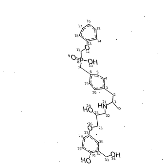 CC(Cc1ccc(CP(=O)(O)COc2ccccc2)cc1)NCC(O)COc1ccc(O)c(CO)c1